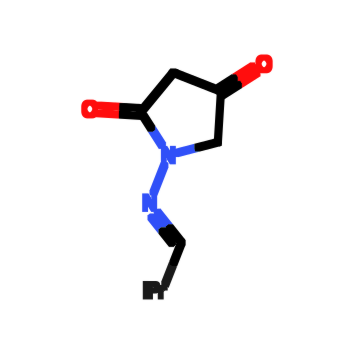 CC(C)/C=N/N1CC(=O)CC1=O